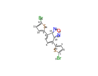 Brc1ccc(-c2ccc(-c3ccc(Br)s3)c3nonc23)s1